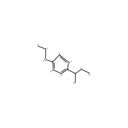 CCOc1cnc(C(C)CC)cn1